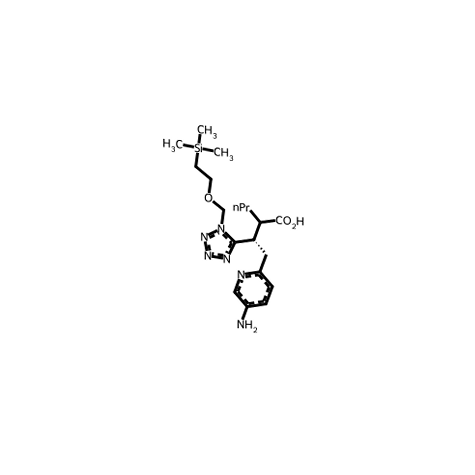 CCCC(C(=O)O)[C@H](Cc1ccc(N)cn1)c1nnnn1COCC[Si](C)(C)C